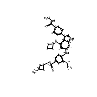 CNC(=O)c1ccc(-c2c[nH]c3nc(Nc4ccc(C(=O)NC5CN(C)C5)cc4OC)nc(OC4CCC4)c23)cc1